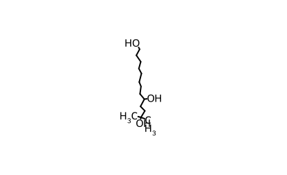 CC(C)(O)CCC(O)CCCCCCCCO